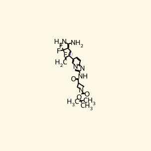 C=C/C(=C\C(=C(N)N)C(F)(F)F)c1ccc2nc(NC(=O)C3CN(C(=O)OC(C)(C)C)C3)cn2c1